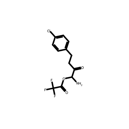 NC(OC(=O)C(F)(F)F)C(=O)CCc1ccc(Cl)cc1